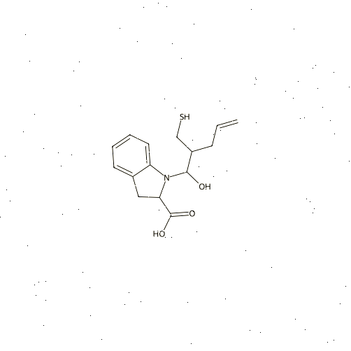 C=CCC(CS)C(O)N1c2ccccc2CC1C(=O)O